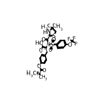 CN(C)C(=O)Oc1ccc(C[C@@H](C(=O)O)N(C(=O)[C@H]2NC(C)(C)CS2)S(=O)(=O)c2ccc(OC(F)(F)F)cc2)cc1